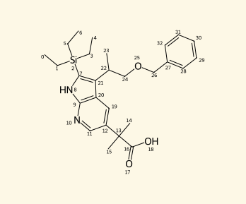 CC[Si](CC)(CC)c1[nH]c2ncc(C(C)(C)C(=O)O)cc2c1C(C)COCc1ccccc1